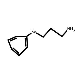 NCCC[Se]c1ccccc1